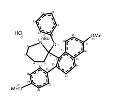 CCCCN1CCCCC1(Oc1ccccc1)c1c(-c2ccc(OC)cc2)ccc2cc(OC)ccc12.Cl